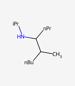 CCCCC(C)C(CCC)NC(C)C